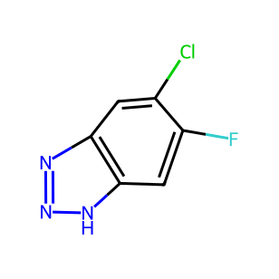 Fc1cc2[nH]nnc2cc1Cl